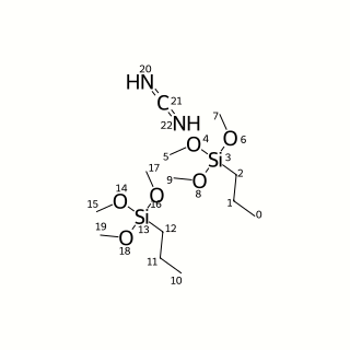 CCC[Si](OC)(OC)OC.CCC[Si](OC)(OC)OC.N=C=N